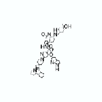 CC(C)c1ccccc1[C@H]1CCCN1C1CC2(CCN(c3cc(Oc4cnc5[nH]ccc5c4)c(C(=O)NS(=O)(=O)c4ccc(NCC5CCC(C)(O)CC5)c([N+](=O)[O-])c4)cn3)CC2)C1